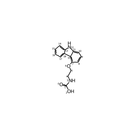 O=C(O)NCCOc1cccc2[nH]c3ccccc3c12